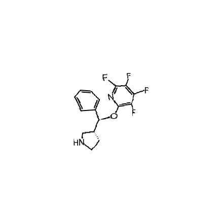 Fc1nc(O[C@H](c2ccccc2)[C@@H]2CCNC2)c(F)c(F)c1F